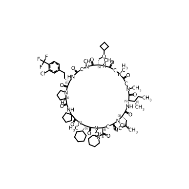 CC[C@H](C)[C@@H]1NC(=O)[C@H](CC(C)C)N(C)C(=O)C[C@@H](C(=O)N2CCCCC2)N(C)C(=O)[C@H](C2CCCCC2)N(C)C(=O)C2(CCCC2)NC(=O)[C@@H]2CCCN2C(=O)[C@H](CCc2ccc(C(F)(F)F)c(Cl)c2)NC(=O)CN(C)C(=O)[C@H](COC2CCC2)N(C)C(=O)CN(C)C(=O)CN(C)C1=O